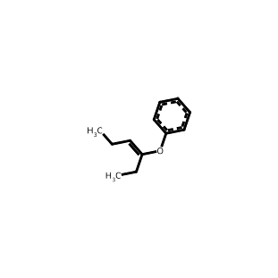 CCC=C(CC)Oc1cc[c]cc1